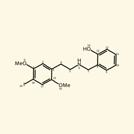 COc1cc(CCNCc2ccccc2O)c(OC)cc1I